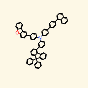 c1ccc(C2(c3ccccc3)c3ccccc3-c3c(-c4cccc(N(c5ccc(-c6ccc(-c7cccc8ccccc78)cc6)cc5)c5ccc(-c6ccc7oc8ccccc8c7c6)cc5)c4)cccc32)cc1